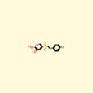 O=S(=O)(CCc1ccc(Cl)cc1)c1cnc(O)c(O)c1